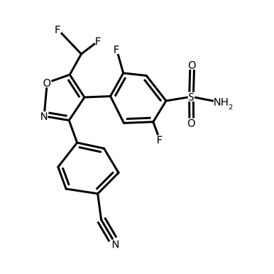 N#Cc1ccc(-c2noc(C(F)F)c2-c2cc(F)c(S(N)(=O)=O)cc2F)cc1